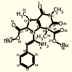 CN1C(=O)C2=C(N(C(N)=Cc3ccccc3)C(C(=O)OC(C)(C)C)N2C)[N+](C)(C(=O)OC(C)(C)C)C1=O